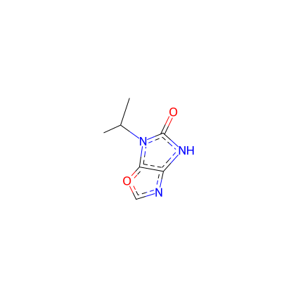 CC(C)n1c(=O)[nH]c2ncoc21